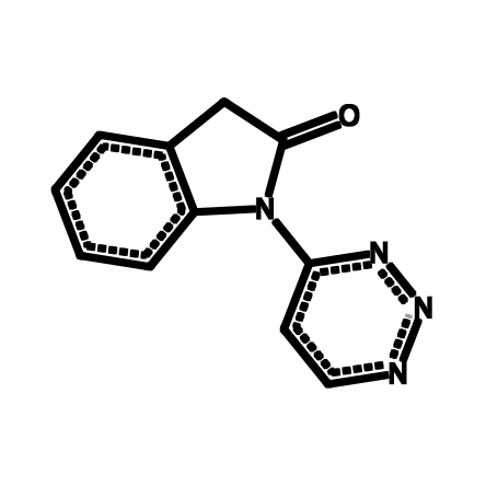 O=C1Cc2ccccc2N1c1ccnnn1